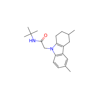 Cc1ccc2c(c1)c1c(n2CC(=O)NC(C)(C)C)CCC(C)C1